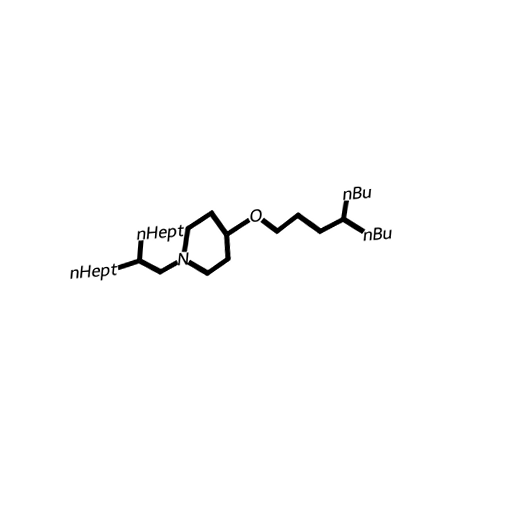 CCCCCCCC(CCCCCCC)CN1CCC(OCCCC(CCCC)CCCC)CC1